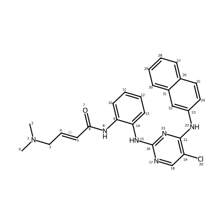 CN(C)C/C=C/C(=O)Nc1ccccc1Nc1ncc(Cl)c(Nc2ccc3ccccc3c2)n1